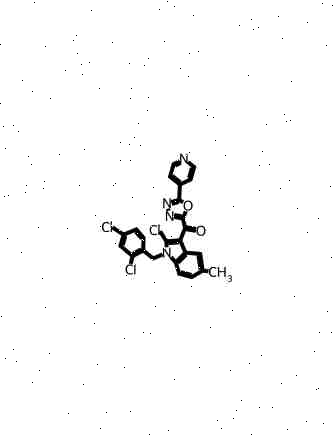 Cc1ccc2c(c1)c(C(=O)c1nnc(-c3ccncc3)o1)c(Cl)n2Cc1ccc(Cl)cc1Cl